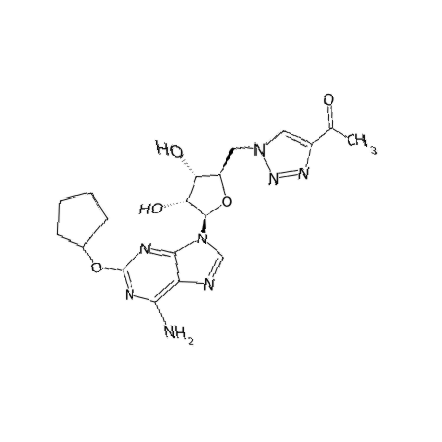 CC(=O)c1cn(C[C@H]2O[C@@H](n3cnc4c(N)nc(OC5CCCC5)nc43)[C@H](O)[C@@H]2O)nn1